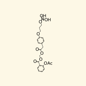 CC(=O)Oc1ccccc1C(=O)OCOC(=O)Cc1ccc(OCCCON(O)O)cc1